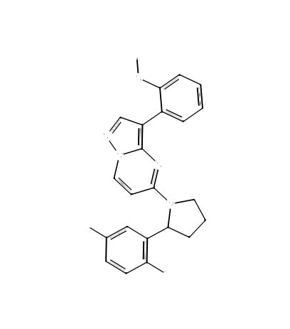 O=C(O)Nc1ccccc1-c1cnn2ccc(N3CCCC3c3cc(F)ccc3F)nc12